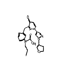 CCCN(C(=O)O)c1cccc(Cc2nn(-c3cnn(C4CCOC4)c3)ccc2=O)c1